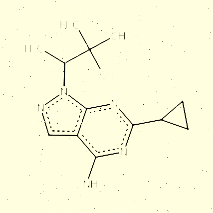 CC(n1ncc2c(N)nc(C3CC3)nc21)C(C)(C)C